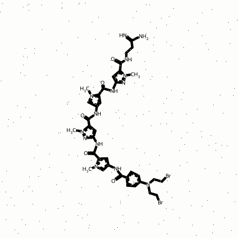 Cn1cc(NC(=O)c2cc(NC(=O)c3cc(NC(=O)c4ccc(N(CCBr)CCBr)cc4)cn3C)nn2C)cc1C(=O)Nc1cc(C(=O)NCCC(=N)N)n(C)n1